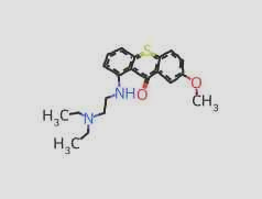 CCN(CC)CCNc1cccc2sc3ccc(OC)cc3c(=O)c12